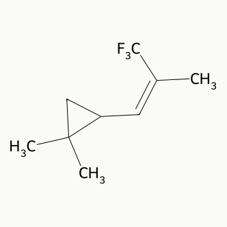 C/C(=C/C1CC1(C)C)C(F)(F)F